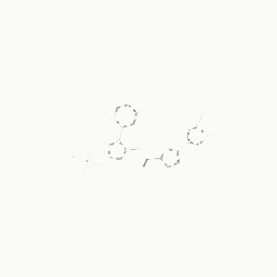 Cn1cc(-c2ccc(C(=O)Nc3cn(CC(C)(C)O)nc3-c3ccccn3)o2)cn1